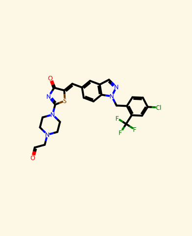 O=CCN1CCN(C2=NC(=O)/C(=C/c3ccc4c(cnn4Cc4ccc(Cl)cc4C(F)(F)F)c3)S2)CC1